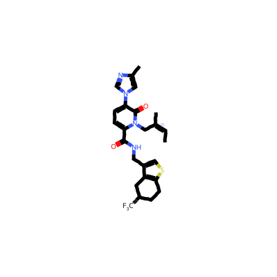 C/C=C(/C)Cn1c(C(=O)NCc2csc3c2CC(C(F)(F)F)CC3)ccc(-n2cnc(C)c2)c1=O